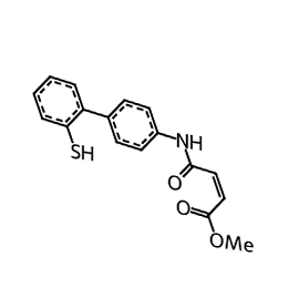 COC(=O)/C=C\C(=O)Nc1ccc(-c2ccccc2S)cc1